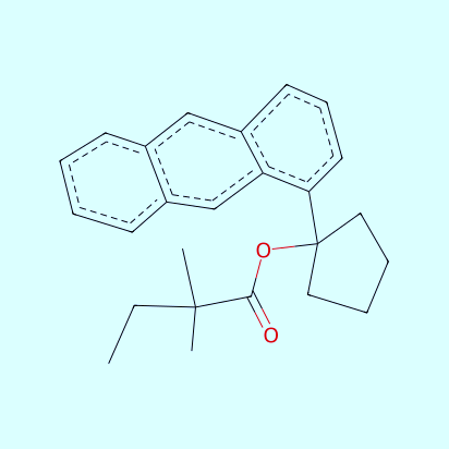 CCC(C)(C)C(=O)OC1(c2cccc3cc4ccccc4cc23)CCCC1